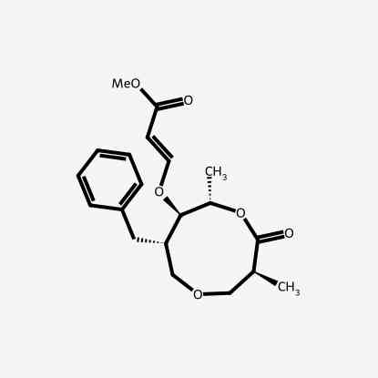 COC(=O)/C=C/O[C@@H]1[C@@H](Cc2ccccc2)COC[C@H](C)C(=O)O[C@H]1C